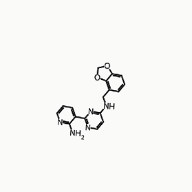 Nc1ncccc1-c1nccc(NCc2cccc3c2OCO3)n1